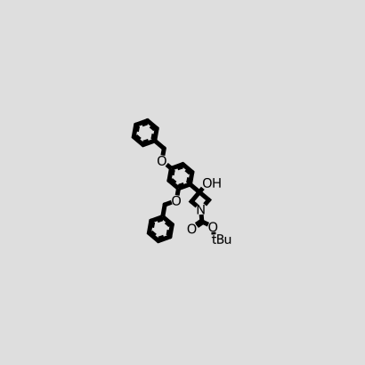 CC(C)(C)OC(=O)N1CC(O)(c2ccc(OCc3ccccc3)cc2OCc2ccccc2)C1